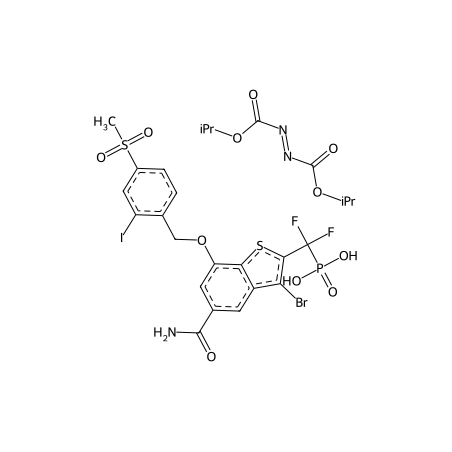 CC(C)OC(=O)N=NC(=O)OC(C)C.CS(=O)(=O)c1ccc(COc2cc(C(N)=O)cc3c(Br)c(C(F)(F)P(=O)(O)O)sc23)c(I)c1